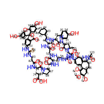 COc1cc2c(c(OC)c1OC)-c1ccc(NC(=O)CN3C(=O)[C@@H](NC(=O)[C@H](Cc4ccc(O)cc4)NC(=O)[C@H](CCC4=CC=CCC4)NC(=O)CNC(=O)[C@H](CCCNC(N)=O)NC(=O)[C@@H]4CCCN4C(=O)[C@H](CCC(=O)O)NC(=O)CCNC(=S)Nc4ccc5c(c4)C(=O)OC54c5ccc(O)cc5Oc5cc(O)ccc54)CC3C)c(=O)cc1[C@@H](NC(C)=O)CC2